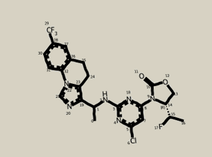 CC(Nc1nc(Cl)cc(N2C(=O)OC[C@@H]2C(C)F)n1)c1ncn2c1CCc1cc(C(F)(F)F)ccc1-2